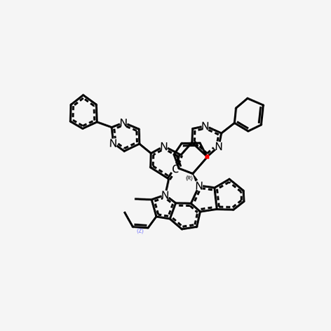 C/C=C\c1c(C)n(-c2cc(-c3cnc(C4=CC=CCC4)nc3)nc(-c3cnc(-c4ccccc4)nc3)c2)c2c1ccc1c3ccccc3n([C@H]3C=CC=CC3)c12